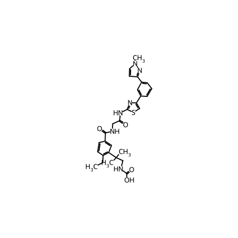 CCc1ccc(C(=O)NCC(=O)Nc2nc(-c3cccc(-c4ccn(C)n4)c3)cs2)cc1C(C)(C)CNC(=O)O